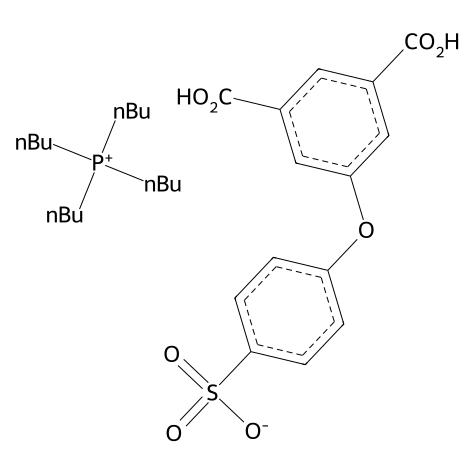 CCCC[P+](CCCC)(CCCC)CCCC.O=C(O)c1cc(Oc2ccc(S(=O)(=O)[O-])cc2)cc(C(=O)O)c1